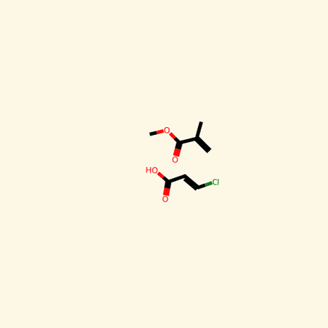 C=C(C)C(=O)OC.O=C(O)C=CCl